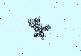 Cc1cc(Nc2nccc(-c3cc(C#N)c4c(c3)[C@@](C)(CO[Si](C)(C)C(C)(C)C)CN4C(=O)OC(C)(C)C)n2)n(CC(C)C)n1